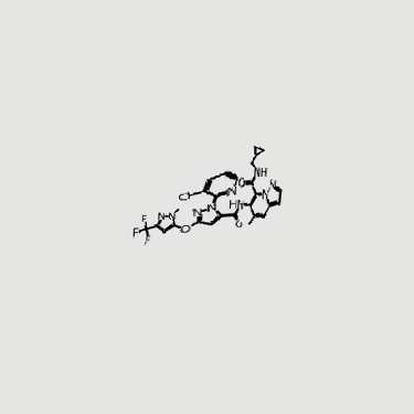 Cc1cc2ccnn2c(C(=O)NCC2CC2)c1NC(=O)c1cc(Oc2cc(C(F)(F)F)nn2C)nn1-c1ncccc1Cl